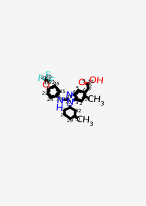 Cc1cc2c(cc1CC(=O)O)nc(Nc1ccc(OC(F)(F)F)cc1)n2C1CCCC(C)C1